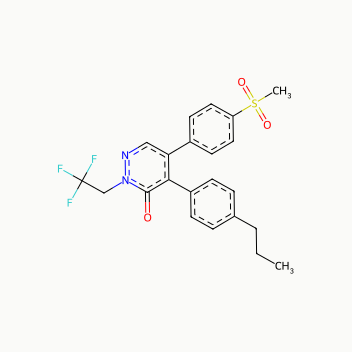 CCCc1ccc(-c2c(-c3ccc(S(C)(=O)=O)cc3)cnn(CC(F)(F)F)c2=O)cc1